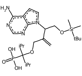 C=C(COC(C(C)C)(C(C)C)P(=O)(O)O)C(CO[Si](C)(C)C(C)(C)C)n1ccc2c(N)ncnc21